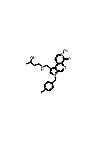 CC(O)CCNCc1cn(Cc2ccc(F)cc2)c2cnc3c(=O)n(O)ccc3c12